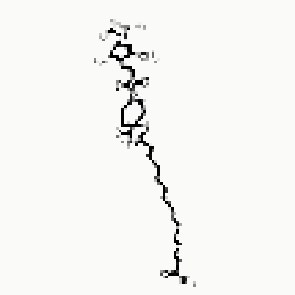 Cc1cc(N(C)C(N)=O)cc(C)c1C=CS(=O)(=O)N1CCC2(CC1)N=C(CCCCCCCCCCCCCC(N)=O)NC2=O